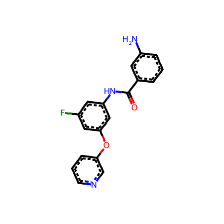 Nc1cccc(C(=O)Nc2cc(F)cc(Oc3cccnc3)c2)c1